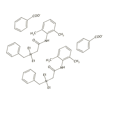 CC[N+](CC)(CC(=O)Nc1c(C)cccc1C)Cc1ccccc1.CC[N+](CC)(CC(=O)Nc1c(C)cccc1C)Cc1ccccc1.O=C([O-])c1ccccc1.O=C([O-])c1ccccc1